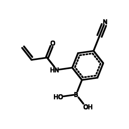 C=CC(=O)Nc1cc(C#N)ccc1B(O)O